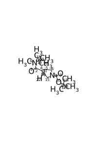 CN(C(=O)C1[C@H]2CN(C(=O)OC(C)(C)C)C[C@@H]12)C(C)(C)C